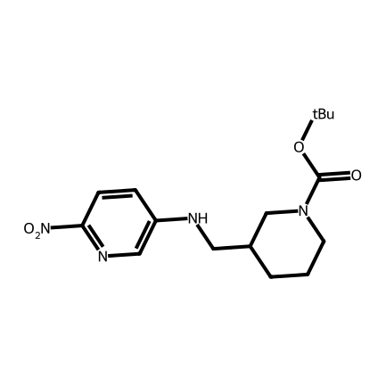 CC(C)(C)OC(=O)N1CCCC(CNc2ccc([N+](=O)[O-])nc2)C1